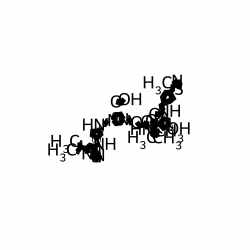 CCC(CC)c1cc(N[C@H]2CC[C@H](NCCN3CCN(CCOCC(=O)N[C@H](C(=O)N4C[C@H](O)C[C@H]4C(=O)NCc4ccc(-c5scnc5C)cc4)C(C)(C)C)CC3)C2)n2nccc2n1.O=CO